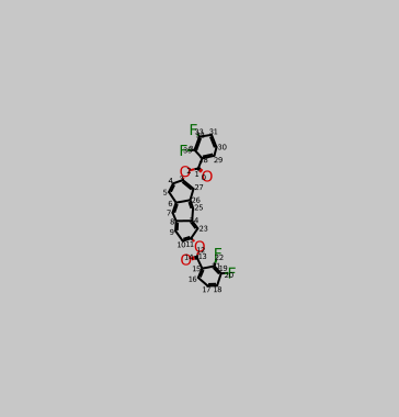 O=C(Oc1ccc2cc3ccc(OC(=O)c4cccc(F)c4F)cc3cc2c1)c1cccc(F)c1F